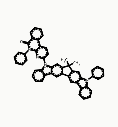 CC1(C)c2cc3c(cc2-c2cc4c5ccccc5n(-c5ccc6c7ccccc7c(=O)n(-c7ccccc7)c6n5)c4cc21)c1ccccc1n3-c1ccccc1